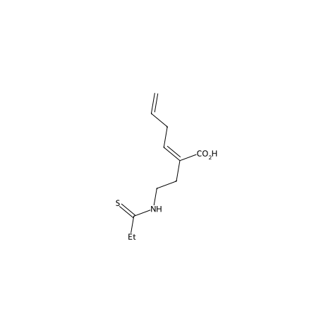 C=CCC=C(CCNC(=S)CC)C(=O)O